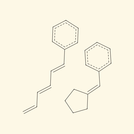 C(=C1CCCC1)c1ccccc1.C=CC=CC=Cc1ccccc1